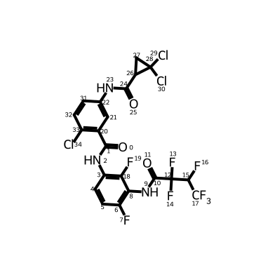 O=C(Nc1ccc(F)c(NC(=O)C(F)(F)C(F)C(F)(F)F)c1F)c1cc(NC(=O)C2CC2(Cl)Cl)ccc1Cl